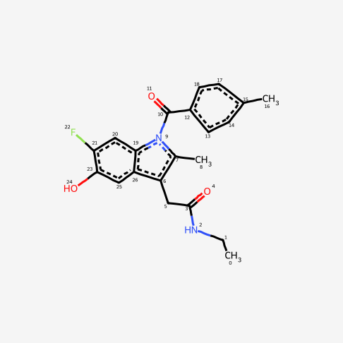 CCNC(=O)Cc1c(C)n(C(=O)c2ccc(C)cc2)c2cc(F)c(O)cc12